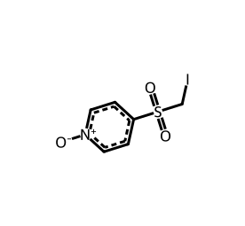 O=S(=O)(CI)c1cc[n+]([O-])cc1